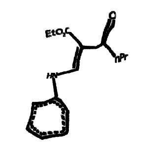 CCCC(=O)/C(=C/Nc1ccccc1)C(=O)OCC